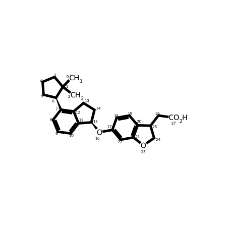 CC1(C)CCC[C@@H]1c1cccc2c1CC[C@H]2Oc1ccc2c(c1)OCC2CC(=O)O